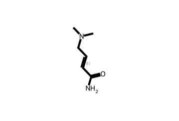 CN(C)C/C=C/C(N)=O